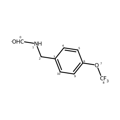 O=[C]NCc1ccc(OC(F)(F)F)cc1